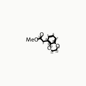 COC(=O)Cc1cccc2c1OCCO2